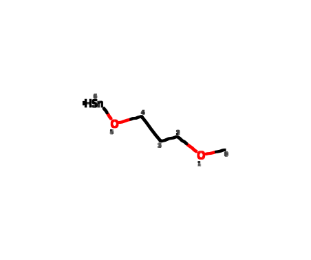 COCCC[O][SnH]